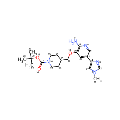 Cn1cnc(-c2cnc(N)c(OCC3CCN(C(=O)OC(C)(C)C)CC3)c2)c1